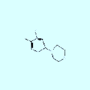 O=[N+]([O-])C1=CC(N2CCNCC2)CC=C1Br